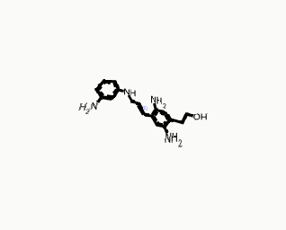 Nc1cccc(NC/C=C/c2cc(N)c(CCO)cc2N)c1